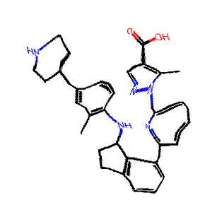 Cc1cc(C2CCNCC2)ccc1NC1CCc2cccc(-c3cccc(-n4ncc(C(=O)O)c4C)n3)c21